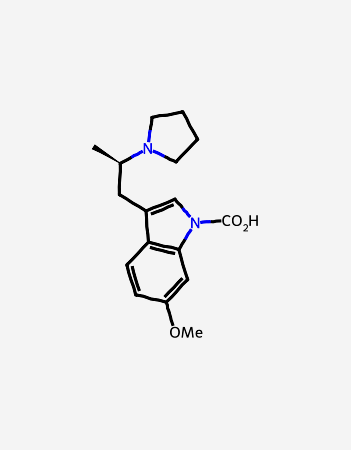 COc1ccc2c(C[C@@H](C)N3CCCC3)cn(C(=O)O)c2c1